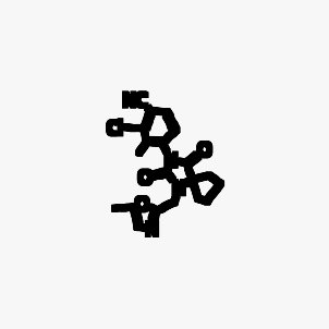 Cc1cnc(CN2C(=O)N(c3ccc(C#N)c(Cl)c3C)C(=O)C23CCCC3)o1